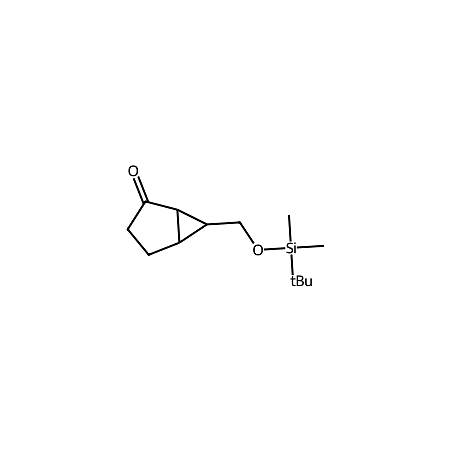 CC(C)(C)[Si](C)(C)OCC1C2CCC(=O)C21